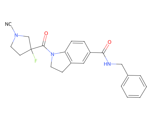 N#CN1CCC(F)(C(=O)N2CCc3cc(C(=O)NCc4ccccc4)ccc32)C1